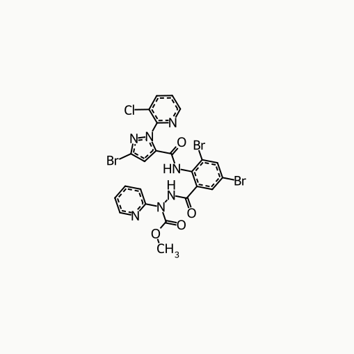 COC(=O)N(NC(=O)c1cc(Br)cc(Br)c1NC(=O)c1cc(Br)nn1-c1ncccc1Cl)c1ccccn1